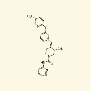 Cc1ccc(Oc2cccc(/C=C3\CCN(C(=O)Nc4cccnn4)CC3C)c2)nc1